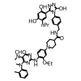 CCCc1cc(-c2nnc(O)n2-c2ccc(CNC(=O)C3CCN(c4ccc(Nc5ncc(N(C)C=O)c(N(C)c6ccccc6C)n5)c(OCC)c4)CC3)cc2)c(O)cc1O